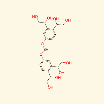 OCC(O)c1ccc(OBOc2ccc(C(O)CO)c(C(O)CO)c2)cc1C(O)CO